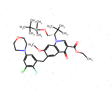 CCOC(=O)c1cn([C@H](CO[Si](C)(C)C(C)(C)C)C(C)(C)C)c2cc(OC)c(Cc3cc(N4CCOCC4)cc(Cl)c3F)cc2c1=O